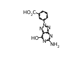 Nc1nc(O)c2nn(-c3cccc(C(=O)O)c3)nc2n1